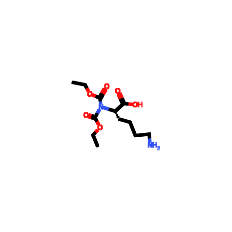 CCOC(=O)N(C(=O)OCC)[C@@H](CCCCN)C(=O)O